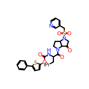 CC(C)CC(NC(=O)Oc1ccc(-c2ccccc2)s1)C(=O)N1CCC2C1C(=O)CN2S(=O)(=O)Cc1cccnc1